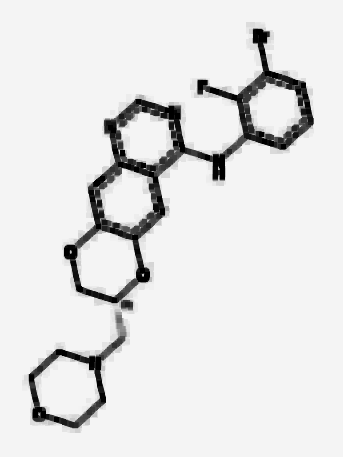 Fc1c(Br)cccc1Nc1ncnc2cc3c(cc12)O[C@H](CN1CCOCC1)CO3